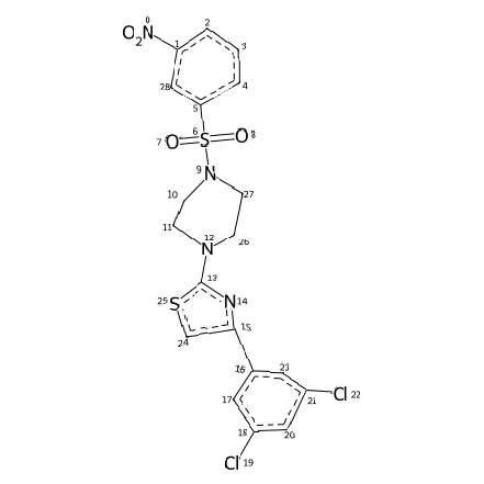 O=[N+]([O-])c1cccc(S(=O)(=O)N2CCN(c3nc(-c4cc(Cl)cc(Cl)c4)cs3)CC2)c1